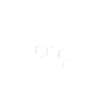 CCC(Cc1ccccc1)=C(O)P(O)O